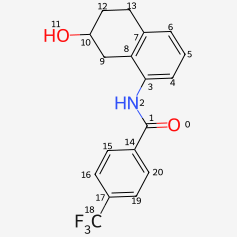 O=C(Nc1cccc2c1CC(O)CC2)c1ccc(C(F)(F)F)cc1